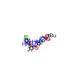 Cc1ccc(NC(=O)c2ccc(N3CCCN(C(=O)OC(C)(C)C)CC3)nn2)c(C(=O)Nc2ccc(Cl)cn2)c1